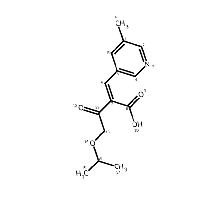 Cc1cncc(/C=C(\C(=O)O)C(=O)COC(C)C)c1